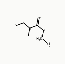 C=C(C[SiH2]Cl)C(C)CC